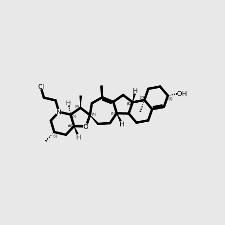 CC1=C2C[C@H]3C(CCC4=C[C@@H](O)CC[C@@]43C)[C@@H]2CC[C@@]2(C1)O[C@@H]1C[C@H](C)CN(CCCl)[C@H]1[C@H]2C